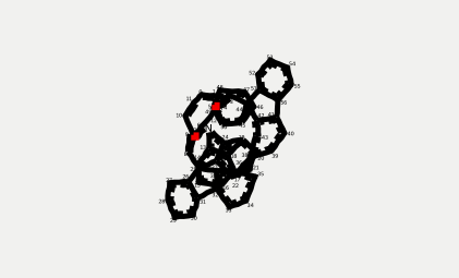 C1=C\C2=C3/C=C/C=C\C4=C(/C=C/1)n1c5ccccc5c5cccc(c51)C41c4ccccc4-c4cccc(c41)-c1ccc4c(c1)C3(c1ccccc12)c1ccccc1-4